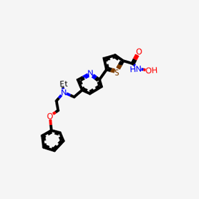 CCN(CCOc1ccccc1)Cc1ccc(-c2ccc(C(=O)NO)s2)nc1